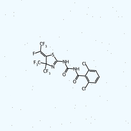 O=C(NC(=O)c1c(Cl)cccc1Cl)NC1=NC(C(F)(F)F)(C(F)(F)F)C(=C(F)C(F)(F)F)S1